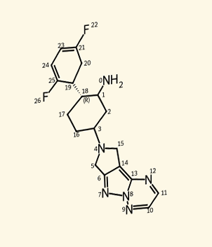 NC1CC(N2Cc3nn4nccnc4c3C2)CC[C@@H]1C1CC(F)=CC=C1F